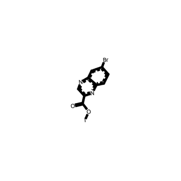 O=C(OI)c1cnc2cc(Br)ccc2n1